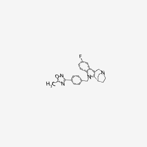 Cc1nc(-c2ccc(Cn3c4c(c5cc(F)ccc53)CN3CCC4CC3)cc2)no1